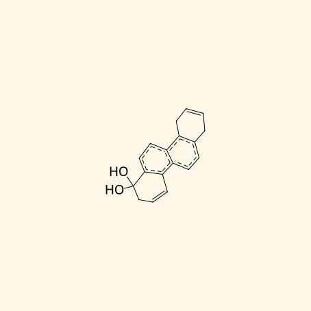 OC1(O)CC=Cc2c1ccc1c3c(ccc21)CC=CC3